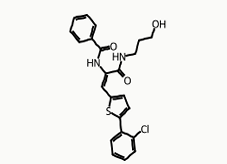 O=C(NCCCO)/C(=C\c1ccc(-c2ccccc2Cl)s1)NC(=O)c1ccccc1